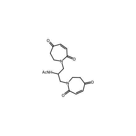 CC(=O)NC(CN1CCC(=O)C=CC1=O)CN1CCC(=O)C=CC1=O